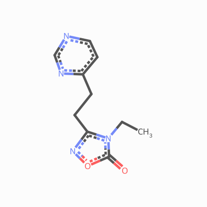 CCn1c(CCc2ccncn2)noc1=O